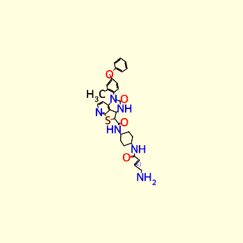 Cc1cc(Oc2ccccc2)ccc1N1C(=O)NC2c3c1ccnc3SC2C(=O)NC1CCC(NC(=O)/C=C/CN)CC1